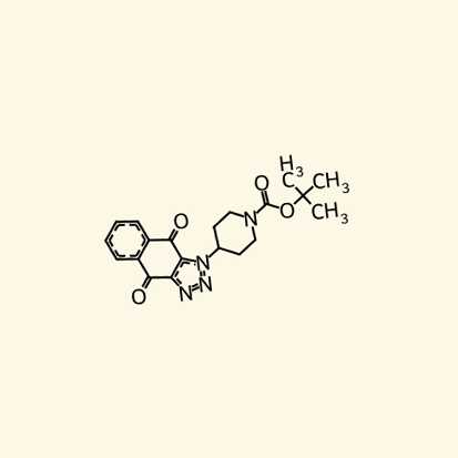 CC(C)(C)OC(=O)N1CCC(n2nnc3c2C(=O)c2ccccc2C3=O)CC1